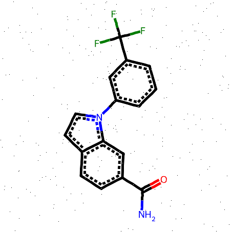 NC(=O)c1ccc2ccn(-c3cccc(C(F)(F)F)c3)c2c1